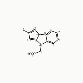 Cc1nc2n(CC(=O)O)c3ccccc3n2n1